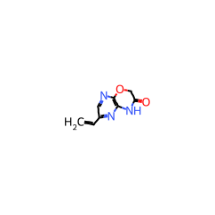 C=Cc1cnc2c(n1)NC(=O)CO2